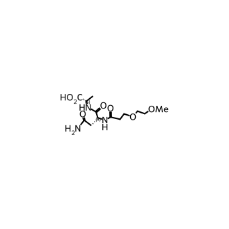 COCCOCCC(=O)N[C@H](CC(N)=O)C(=O)N[C@@H](C)C(=O)O